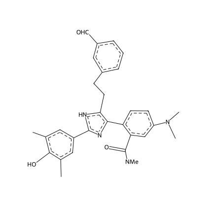 CNC(=O)c1cc(N(C)C)ccc1-c1nc(-c2cc(C)c(O)c(C)c2)[nH]c1CCc1cccc(C=O)c1